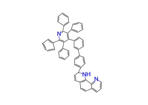 C1=CC(c2ccc(-c3cccc(-c4c(-c5ccccc5)c(-c5ccccc5)nc(-c5ccccc5)c4-c4ccccc4)c3)cc2)Nc2c1ccc1cccnc21